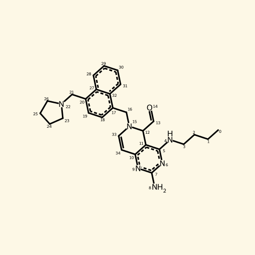 CCCCNc1nc(N)nc2c1C(C=O)N(Cc1ccc(CN3CCCC3)c3ccccc13)C=C2